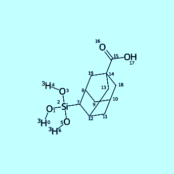 [3H]O[Si](O[3H])(O[3H])C1C2CC3CC1CC(C(=O)O)(C3)C2